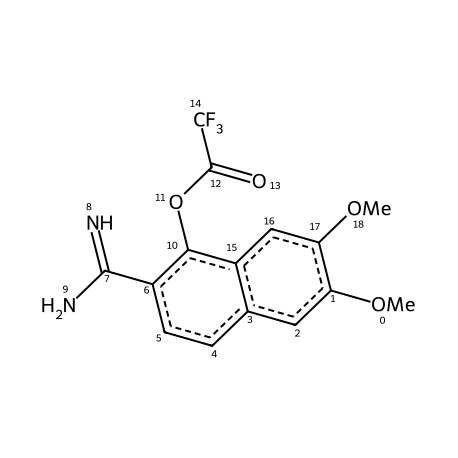 COc1cc2ccc(C(=N)N)c(OC(=O)C(F)(F)F)c2cc1OC